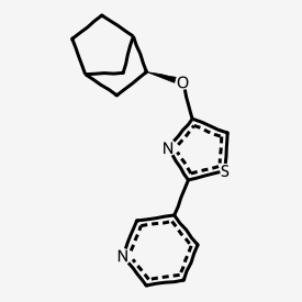 c1cncc(-c2nc(O[C@H]3CC4CCC3C4)cs2)c1